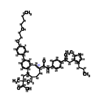 CCCCOCCOc1ccc(-c2ccc3c(c2)/C=C(/C(=O)Nc2ccc([S@+]([O-])Cc4c(C)ncn4CCC)cc2)CCCN3CC(C)(C)C(=O)O)cc1